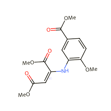 COC(=O)/C=C(/Nc1cc(C(=O)OC)ccc1OC)C(=O)OC